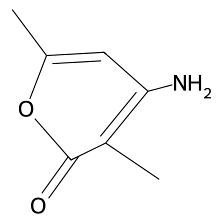 Cc1cc(N)c(C)c(=O)o1